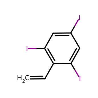 C=Cc1c(I)cc(I)cc1I